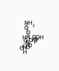 NCCOCCOCCNc1cccc2c1C(=O)N(C1CCC(=O)NC1=O)C2=O.O=C(O)C(F)(F)F